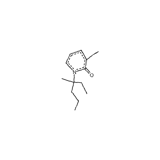 CCCC(C)(CC)n1cccc(C)c1=O